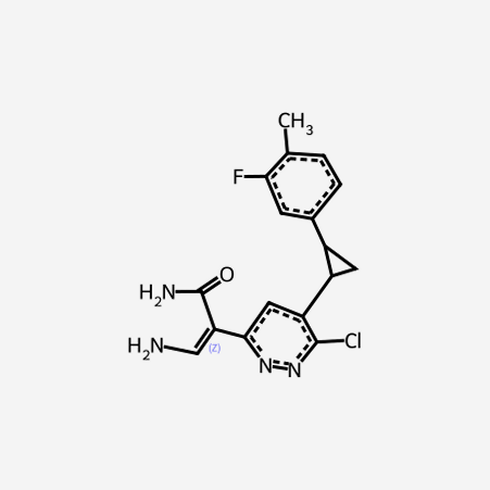 Cc1ccc(C2CC2c2cc(/C(=C/N)C(N)=O)nnc2Cl)cc1F